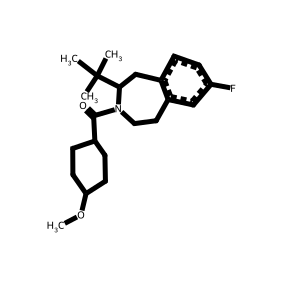 COC1CCC(C(=O)N2CCc3cc(F)ccc3CC2C(C)(C)C)CC1